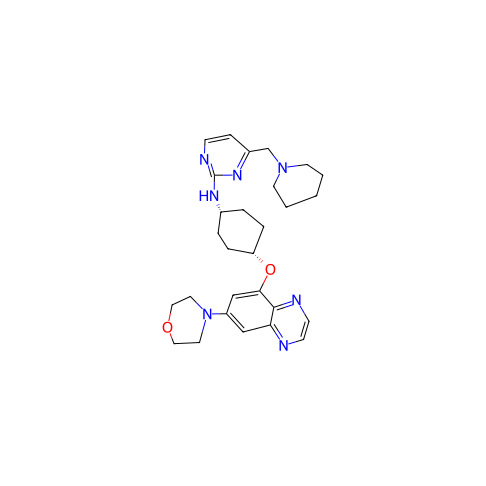 c1cc(CN2CCCCC2)nc(N[C@H]2CC[C@@H](Oc3cc(N4CCOCC4)cc4nccnc34)CC2)n1